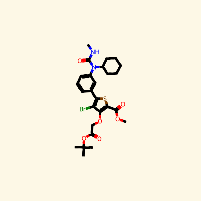 CNC(=O)N(c1cccc(-c2sc(C(=O)OC)c(OCC(=O)OC(C)(C)C)c2Br)c1)C1CCCCC1